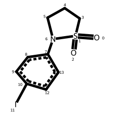 O=S1(=O)CCCN1c1ccc(I)cc1